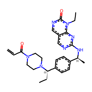 C=CC(=O)N1CCN([C@@H](CC)c2ccc([C@H](C)Nc3ncc4cnc(=O)n(CC)c4n3)cc2)CC1